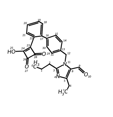 CCCc1nc(CC)c(C=O)n1Cc1ccc(-c2ccccc2-c2c(O)c(=O)c2=O)cc1